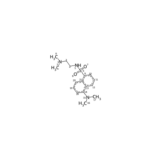 CN(C)CCNS(=O)(=O)c1cccc2c(N(C)C)cccc12